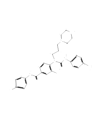 Cc1cc(C(=O)Nc2ccc(Cl)cc2)ccc1N(CCCN1CCOCC1)C(=O)Nc1ccc(Cl)cc1